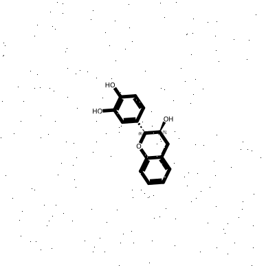 Oc1ccc([C@H]2Oc3ccccc3C[C@@H]2O)cc1O